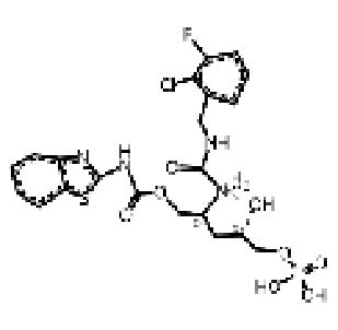 CN(C(=O)NCc1cccc(F)c1Cl)[C@H](COC(=O)Nc1nc2ccccc2s1)C[C@H](O)COP(=O)(O)O